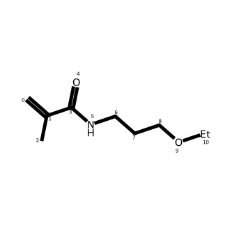 C=C(C)C(=O)NCCCOCC